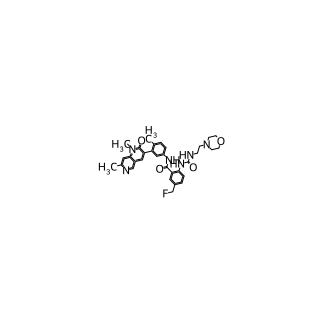 Cc1cc2c(cn1)cc(-c1cc(NC(=O)c3cc(CF)ccc3NC(=O)NCCN3CCOCC3)ccc1C)c(=O)n2C